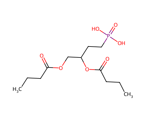 CCCC(=O)OCC(CCP(=O)(O)O)OC(=O)CCC